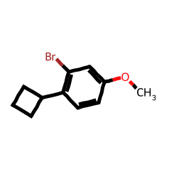 COc1ccc(C2CCC2)c(Br)c1